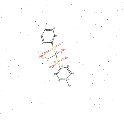 Cc1ccc(S(=O)(=O)C(O)(CO)S(=O)(=O)c2ccc(C)cc2)cc1